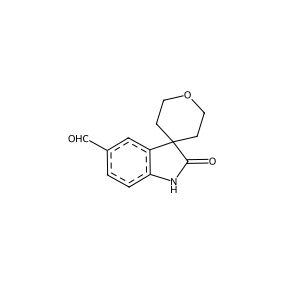 O=Cc1ccc2c(c1)C1(CCOCC1)C(=O)N2